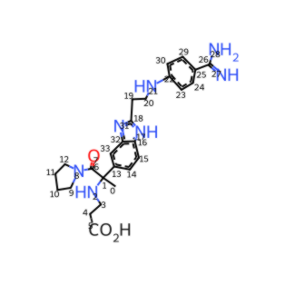 CC(NCCC(=O)O)(C(=O)N1CCCC1)c1ccc2[nH]c(CCNc3ccc(C(=N)N)cc3)nc2c1